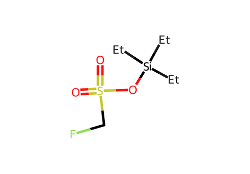 CC[Si](CC)(CC)OS(=O)(=O)CF